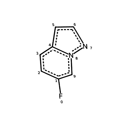 Fc1ccc2ccnn2c1